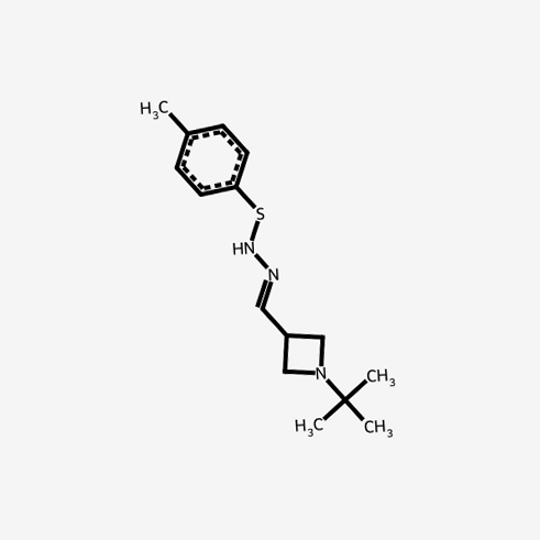 Cc1ccc(SN/N=C/C2CN(C(C)(C)C)C2)cc1